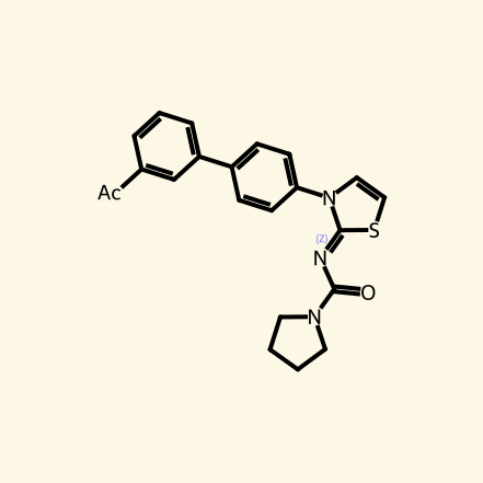 CC(=O)c1cccc(-c2ccc(-n3ccs/c3=N\C(=O)N3CCCC3)cc2)c1